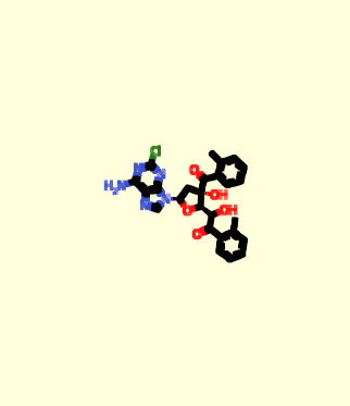 Cc1ccccc1C(=O)C(O)[C@H]1O[C@H](n2cnc3c(N)nc(Cl)nc32)C[C@@]1(O)C(=O)c1ccccc1C